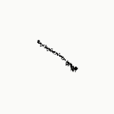 CC(C)(C)CCOCCOCCOCCOCCOCCOCCOCCOCCN/C=C(/CCC(C)(C)C)N=N